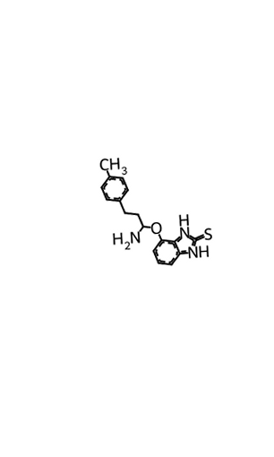 Cc1ccc(CCC(N)Oc2cccc3[nH]c(=S)[nH]c23)cc1